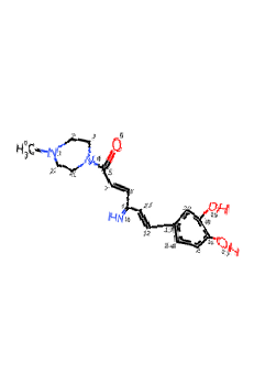 CN1CCN(C(=O)/C=C/C(=N)/C=C/c2ccc(O)c(O)c2)CC1